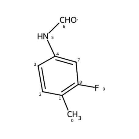 Cc1ccc(N[C]=O)cc1F